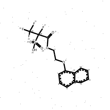 O=C(OCCOc1cccc2ccccc12)C(F)(C(F)(F)F)S(=O)(=O)O